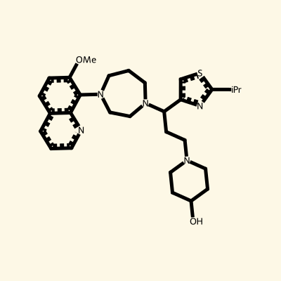 COc1ccc2cccnc2c1N1CCCN(C(CCN2CCC(O)CC2)c2csc(C(C)C)n2)CC1